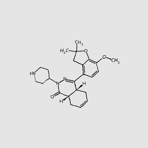 COc1ccc(C2=NN(C3CCNCC3)C(=O)[C@H]3CC=CC[C@@H]23)c2c1OC(C)(C)C2